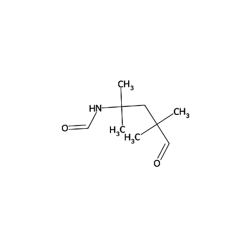 CC(C)(C=O)CC(C)(C)NC=O